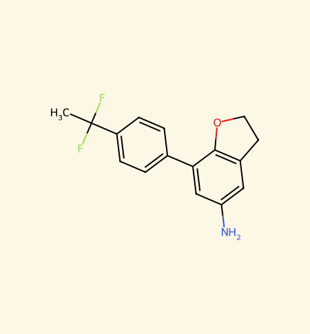 CC(F)(F)c1ccc(-c2cc(N)cc3c2OCC3)cc1